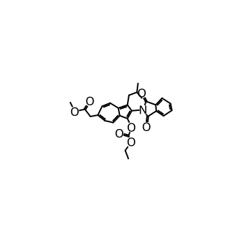 CCOC(=O)Oc1c2ccc(CC(=O)OC)ccc-2c(CC(C)C)c1N1C(=O)c2ccccc2C1=O